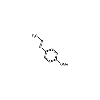 COc1ccc(N=CC(F)(F)F)cc1